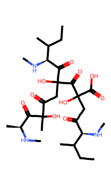 CCC(C)[C@H](NC)C(=O)CC(O)(C(=O)O)C(=O)C(O)(CC(=O)C(C)(O)C(=O)[C@H](C)NC)C(=O)[C@@H](NC)C(C)CC